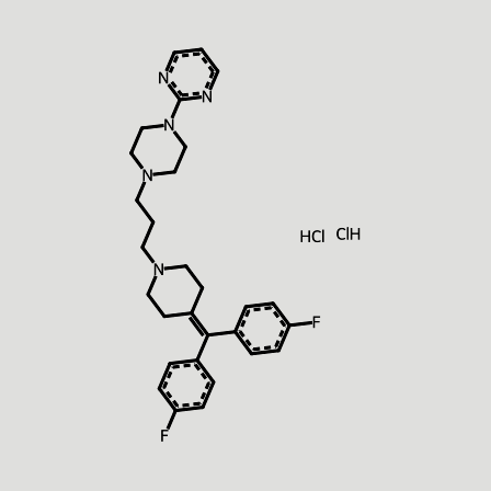 Cl.Cl.Fc1ccc(C(=C2CCN(CCCN3CCN(c4ncccn4)CC3)CC2)c2ccc(F)cc2)cc1